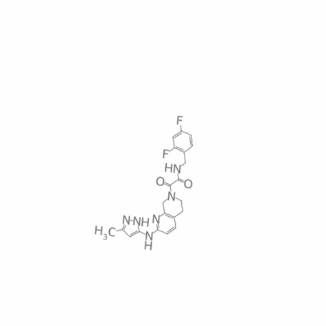 Cc1cc(Nc2ccc3c(n2)CN(C(=O)C(=O)NCc2ccc(F)cc2F)CC3)[nH]n1